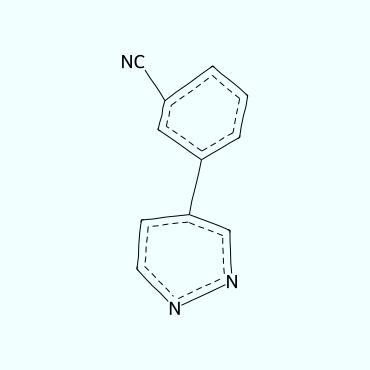 N#Cc1cccc(-c2ccnnc2)c1